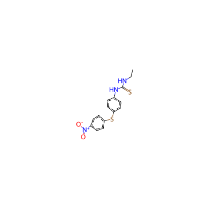 CCNC(=S)Nc1ccc(Sc2ccc([N+](=O)[O-])cc2)cc1